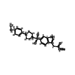 COC(=O)Cc1c[nH]c2cc(S(=O)(=O)N3CCN(c4ccc(OC(F)(F)F)cc4)CC3)ccc12